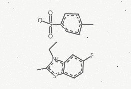 CC[n+]1c(C)sc2ccc(F)cc21.Cc1ccc(S(=O)(=O)[O-])cc1